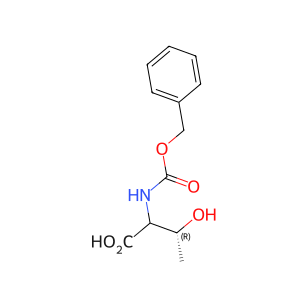 C[C@@H](O)C(NC(=O)OCc1ccccc1)C(=O)O